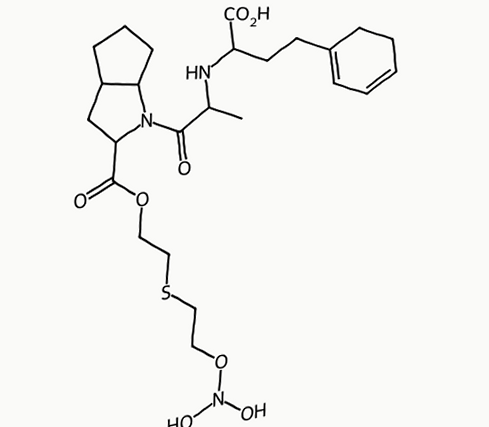 CC(NC(CCC1=CC=CCC1)C(=O)O)C(=O)N1C(C(=O)OCCSCCON(O)O)CC2CCCC21